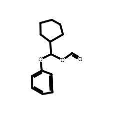 O=COC(Oc1ccccc1)C1CCCCC1